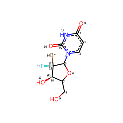 O=c1ccn(C2OC(CO)[C@@H](O)[C@]2(F)Br)c(=O)[nH]1